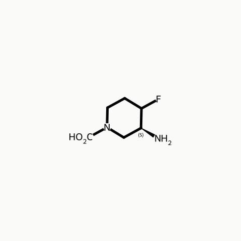 N[C@H]1CN(C(=O)O)CCC1F